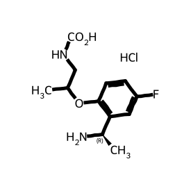 CC(CNC(=O)O)Oc1ccc(F)cc1[C@@H](C)N.Cl